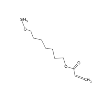 C=CC(=O)OCCCCCCCO[SiH3]